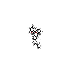 Cc1cc(S(=O)(=O)Nc2cscn2)ncc1N(C)[C@H]1C[C@H]2CC[C@@H](C1)N2Cc1cc(F)ccc1F